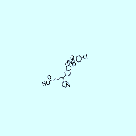 O=C(O)CCCC=C(c1cccnc1)c1ccc2c(c1)CC(NS(=O)(=O)c1ccc(Cl)cc1)C2